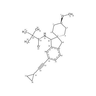 CO[C@H]1CC[C@]2(CC1)Cc1ccc(C#CC3CC3)cc1C2N[S+]([O-])C(C)(C)C